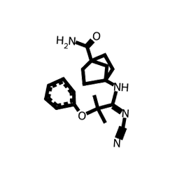 CC(C)(Oc1ccccc1)/C(=N\C#N)NC12CCC(C(N)=O)(CC1)C2